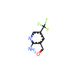 Nc1ncc(C(F)(F)F)cc1C=O